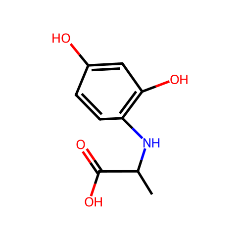 CC(Nc1ccc(O)cc1O)C(=O)O